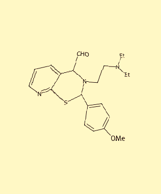 CCN(CC)CCN1C(C=O)c2cccnc2SC1c1ccc(OC)cc1